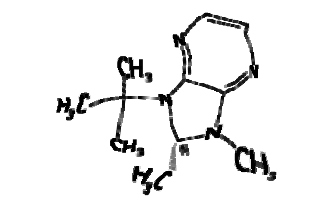 C[C@H]1N(C)c2nccnc2N1C(C)(C)C